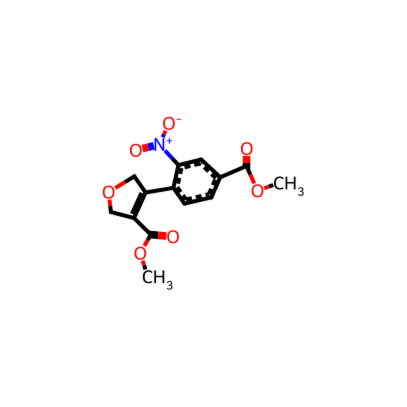 COC(=O)C1=C(c2ccc(C(=O)OC)cc2[N+](=O)[O-])COC1